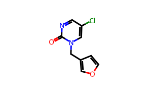 O=c1ncc(Cl)cn1Cc1ccoc1